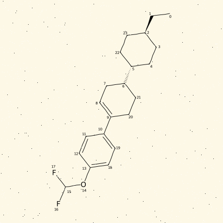 CC[C@H]1CC[C@H](C2CC=C(c3ccc(OC(F)F)cc3)CC2)CC1